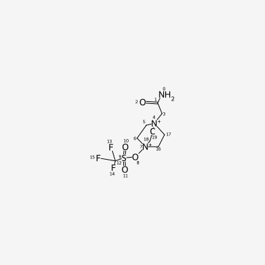 NC(=O)C[N+]12CC[N+](OS(=O)(=O)C(F)(F)F)(CC1)CC2